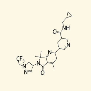 CC1=C2C(=O)N(C3C=NN(CC(F)(F)F)C3)C(C)(C)C2=NC(C2C=NCC(C(=O)NCC3CC3)C2)C1